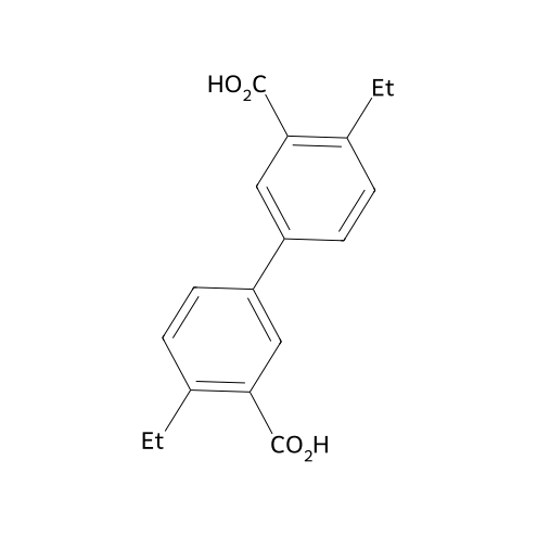 CCc1ccc(-c2ccc(CC)c(C(=O)O)c2)cc1C(=O)O